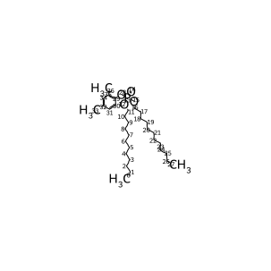 CCCCCCCCCCCCOP(=O)(OCCCCCCCCCCCC)Oc1ccc(C)cc1C